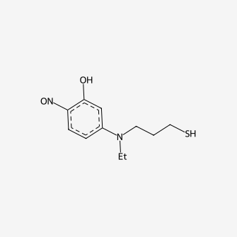 CCN(CCCS)c1ccc(N=O)c(O)c1